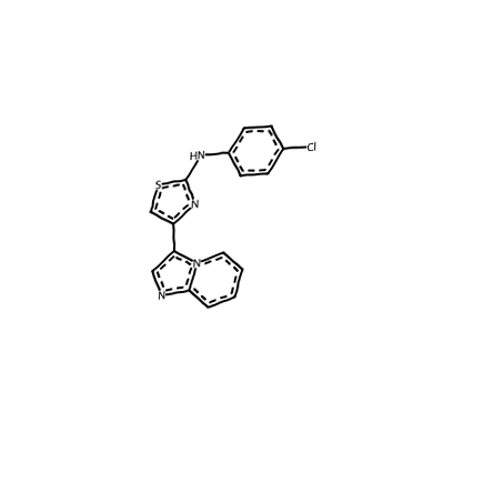 Clc1ccc(Nc2nc(-c3cnc4ccccn34)cs2)cc1